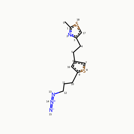 Cc1nc(CCc2csc(CCCN=[N+]=[N-])c2)cs1